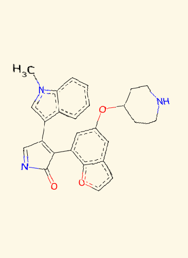 Cn1cc(C2=C(c3cc(OC4CCNCC4)cc4ccoc34)C(=O)N=C2)c2ccccc21